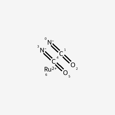 [N-]=C=O.[N-]=C=O.[Ru+2]